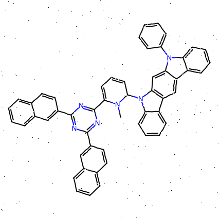 CN1C(c2nc(-c3ccc4ccccc4c3)nc(-c3ccc4ccccc4c3)n2)=CC=CC1n1c2ccccc2c2cc3c4ccccc4n(-c4ccccc4)c3cc21